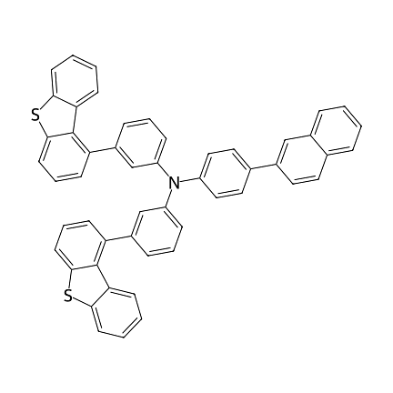 c1cc(-c2cccc3sc4ccccc4c23)cc(N(c2ccc(-c3ccc4ccccc4c3)cc2)c2cccc(-c3cccc4sc5ccccc5c34)c2)c1